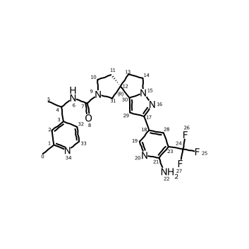 Cc1cc(C(C)NC(=O)N2CC[C@@]3(CCn4nc(-c5cnc(N)c(C(F)(F)F)c5)cc43)C2)ccn1